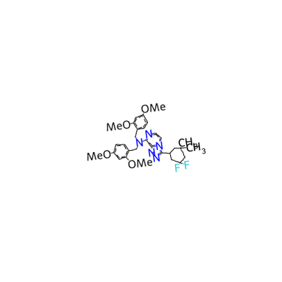 COc1ccc(CN(Cc2ccc(OC)cc2OC)c2nccn3c(C4CC(C)(C)CC(F)(F)C4)nnc23)c(OC)c1